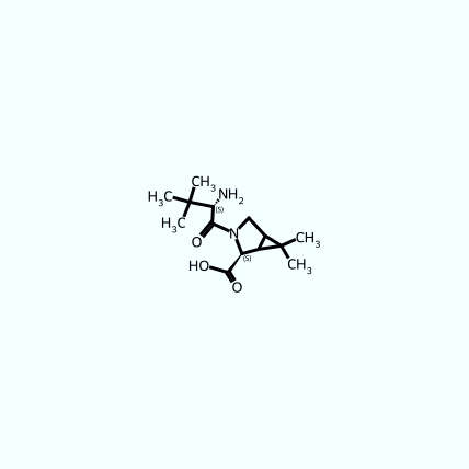 CC1(C)C2CN(C(=O)[C@@H](N)C(C)(C)C)[C@H](C(=O)O)C21